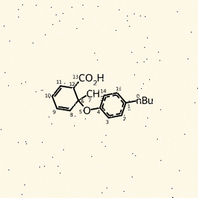 CCCCc1ccc(OC2(C)C=CC=CC2C(=O)O)cc1